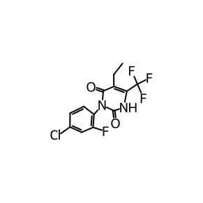 CCc1c(C(F)(F)F)[nH]c(=O)n(-c2ccc(Cl)cc2F)c1=O